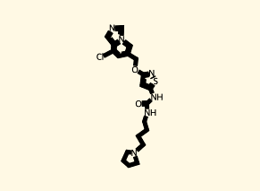 O=C(NCCCCN1CCCC1)Nc1cc(OCc2cc(Cl)c3cncn3c2)ns1